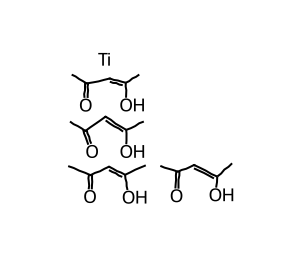 CC(=O)/C=C(/C)O.CC(=O)/C=C(/C)O.CC(=O)/C=C(/C)O.CC(=O)/C=C(/C)O.[Ti]